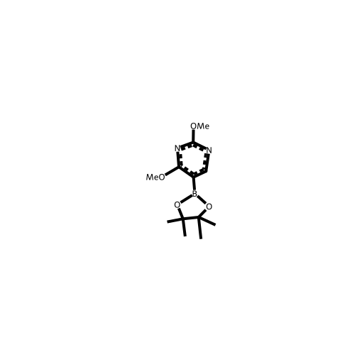 COc1ncc(B2OC(C)(C)C(C)(C)O2)c(OC)n1